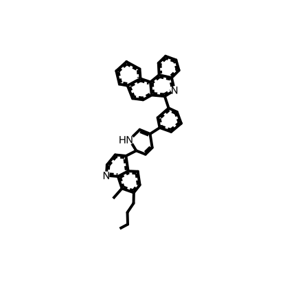 CCCCc1ccc2c(C3C=CC(c4cccc(-c5nc6ccccc6c6c5ccc5ccccc56)c4)=CN3)ccnc2c1C